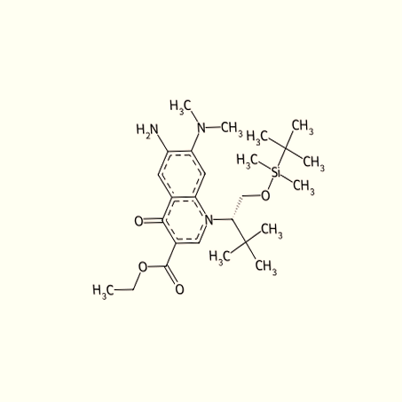 CCOC(=O)c1cn([C@H](CO[Si](C)(C)C(C)(C)C)C(C)(C)C)c2cc(N(C)C)c(N)cc2c1=O